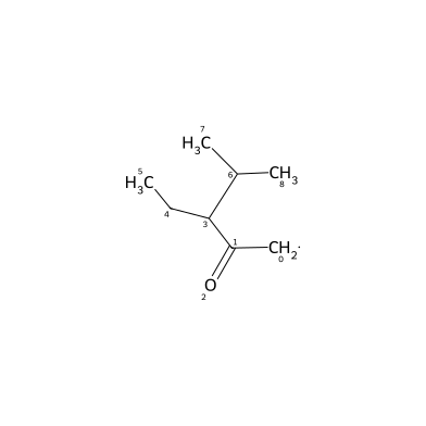 [CH2]C(=O)C(CC)C(C)C